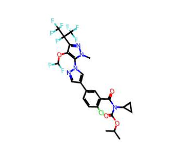 CC(C)OC(=O)N(C(=O)c1cc(-c2cnn(-c3c(OC(F)F)c(C(F)(C(F)(F)F)C(F)(F)F)nn3C)c2)ccc1Cl)C1CC1